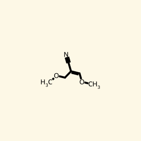 COC=C(C#N)COC